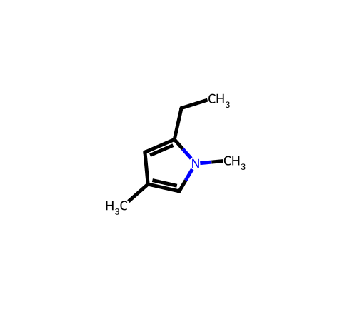 CCc1cc(C)cn1C